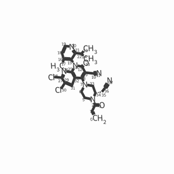 C=CC(=O)N1CCN(c2c(C#N)c(=O)n(-c3c(C)ccnc3C(C)C)c3nc(Cl)c(Cl)cc23)C[C@@H]1CC#N